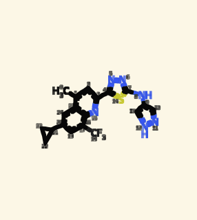 Cc1cc(-c2nnc(Nc3cn[nH]c3)s2)nc2c(C(F)(F)F)cc(C3CC3)cc12